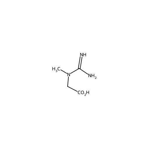 CN(C[13C](=O)O)C(=N)N